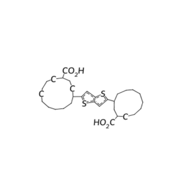 O=C(O)C1CCCCCCCCCC(c2cc3sc(C4CCCCCCCCC(C(=O)O)C4)cc3s2)CC1